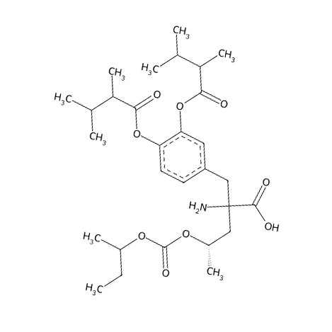 CCC(C)OC(=O)O[C@@H](C)CC(N)(Cc1ccc(OC(=O)C(C)C(C)C)c(OC(=O)C(C)C(C)C)c1)C(=O)O